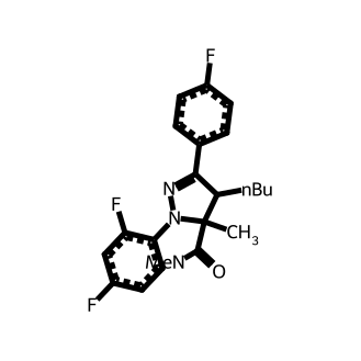 CCCCC1C(c2ccc(F)cc2)=NN(c2ccc(F)cc2F)C1(C)C(=O)NC